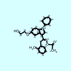 CC(=O)O/N=C(\Cc1ccccc1C)c1cn(-c2ccccc2)c2ccc(OCCO)cc12